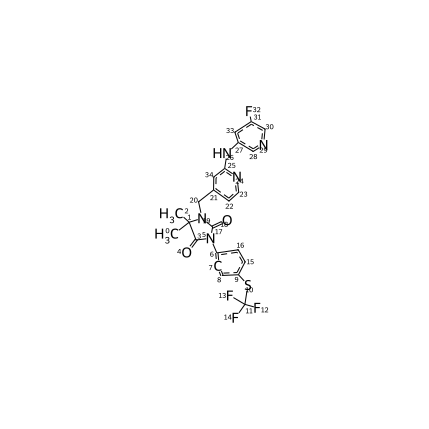 CC1(C)C(=O)N(c2ccc(SC(F)(F)F)cc2)C(=O)N1Cc1ccnc(Nc2cncc(F)c2)c1